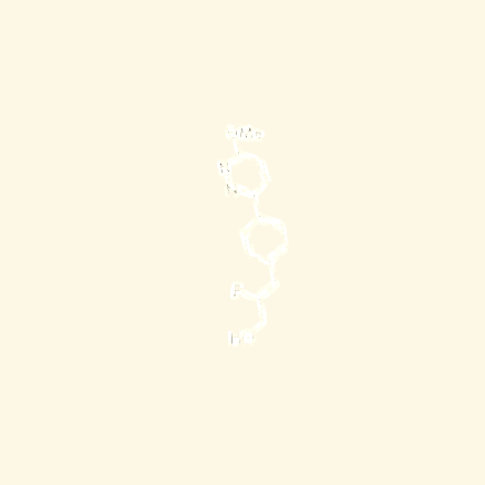 COc1ccc(-c2ccc(C=C(F)CO)cc2)nn1